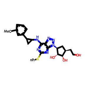 CCCSc1nc(NC2CC2c2cccc(OC)c2)c2nnn([C@H]3C[C@@H](CCO)[C@H](O)[C@@H]3O)c2n1